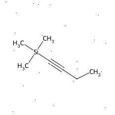 [CH2]CC#C[Si](C)(C)C